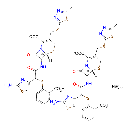 Cc1nnc(SCC2=C(C(=O)[O-])N3C(=O)C(NC(=O)C(Sc4ccccc4C(=O)O)c4csc(N)n4)[C@H]3SC2)s1.Cc1nnc(SCC2=C(C(=O)[O-])N3C(=O)C(NC(=O)C(Sc4ccccc4C(=O)O)c4csc(N)n4)[C@H]3SC2)s1.[Na+].[Na+]